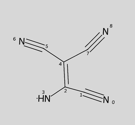 N#CC([NH])=C(C#N)C#N